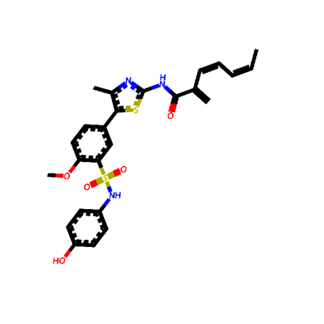 C=C(/C=C\C=C/C)C(=O)Nc1nc(C)c(-c2ccc(OC)c(S(=O)(=O)Nc3ccc(O)cc3)c2)s1